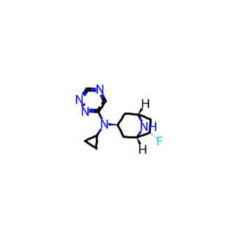 F[C@H]1C[C@H]2C[C@H](N(c3cncnn3)C3CC3)C[C@@H]1N2